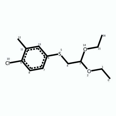 CCOC(CSc1ccc(Cl)c(C)c1)OCC